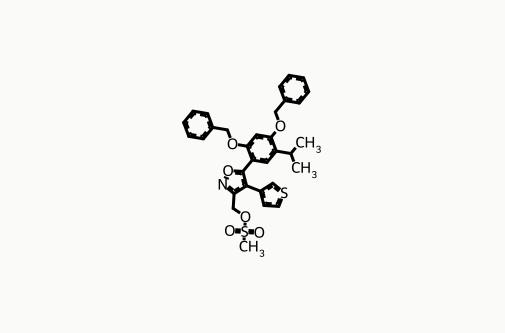 CC(C)c1cc(-c2onc(COS(C)(=O)=O)c2-c2ccsc2)c(OCc2ccccc2)cc1OCc1ccccc1